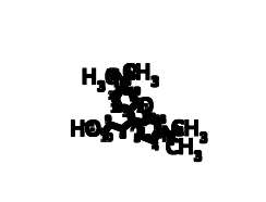 CN(C)c1ccc2c(CCCO)c3ccc(=[N+](C)C)cc-3oc2c1